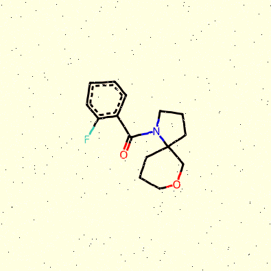 O=C(c1ccccc1F)N1CCCC12CCCOC2